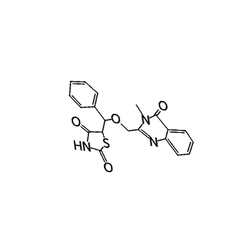 Cn1c(COC(c2ccccc2)C2SC(=O)NC2=O)nc2ccccc2c1=O